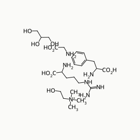 C[N+](C)(C)CCO.N=C(N)NCCCC(N)C(=O)O.NC(Cc1ccccc1)C(=O)O.NCC(=O)O.OCC(O)CO